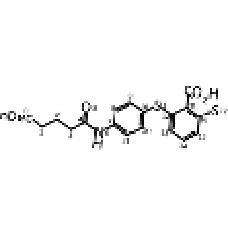 CCCCCCCCCCCCCC(=O)Nc1ccc(Sc2cccc([S])c2C(=O)O)cc1